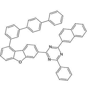 c1ccc(-c2ccc(-c3cccc(-c4cccc5oc6cc(-c7nc(-c8ccccc8)nc(-c8ccc9ccccc9c8)n7)ccc6c45)c3)cc2)cc1